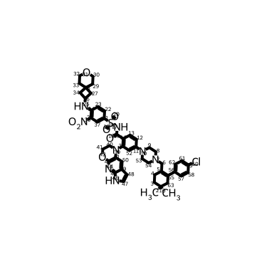 CC1(C)CCC(CN2CCN(c3ccc(C(=O)NS(=O)(=O)c4ccc(NC5CC6(CCOCC6)C5)c([N+](=O)[O-])c4)c(N4CCOc5nc6[nH]ccc6cc54)c3)CC2)=C(c2ccc(Cl)cc2)C1